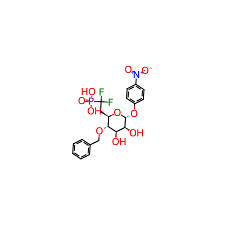 O=[N+]([O-])c1ccc(O[C@H]2O[C@H](CC(F)(F)P(=O)(O)O)[C@@H](OCc3ccccc3)[C@H](O)[C@@H]2O)cc1